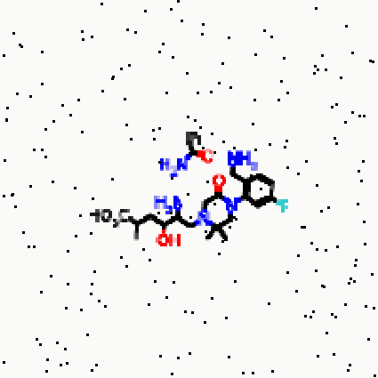 CC(C)C(N)=O.CC(CC(O)C(N)CN1CC(=O)N(c2cc(F)ccc2CN)CC1(C)C)C(=O)O